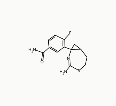 NC(=O)c1ccc(F)c(C23CC2CCSC(N)=N3)c1